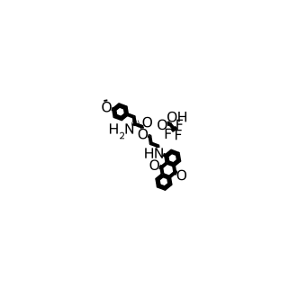 COc1ccc(C[C@H](N)C(=O)OCCCNc2cccc3c2C(=O)c2ccccc2C3=O)cc1.O=C(O)C(F)(F)F